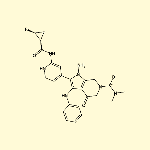 CN(C)[S+]([O-])N1CC(=O)c2c(Nc3ccccc3)c(C3=CCNC(NC(=O)[C@@H]4C[C@@H]4F)=C3)n(N)c2C1